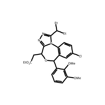 CCOC(=O)CC1OC(c2cccc(OC)c2OC)c2cc(Cl)ccc2-n2c(C(CC)CC)nnc21